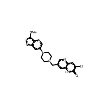 CCc1cc2ncc(CN3CCN(c4cnc5c(NC)onc5c4)CC3)cc2[nH]c1=O